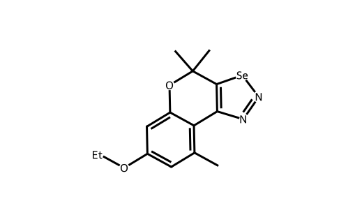 CCOc1cc(C)c2c(c1)OC(C)(C)c1[se]nnc1-2